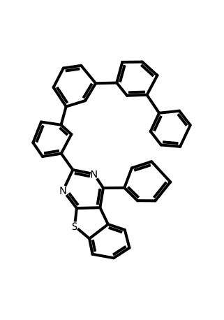 c1ccc(-c2cccc(-c3cccc(-c4cccc(-c5nc(-c6ccccc6)c6c(n5)sc5ccccc56)c4)c3)c2)cc1